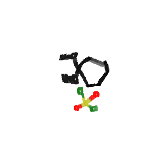 COC1(OC)C=CC=CC1.O=S(=O)(Cl)Cl